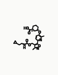 Cc1nc(-c2onc(C)c2COC(=O)NCCC2CC2)ccc1O[C@H]1CCC[C@H](C(=O)O)C1